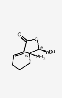 CCCC[C@@H]1OC(=O)C2=CCCC[C@]21N